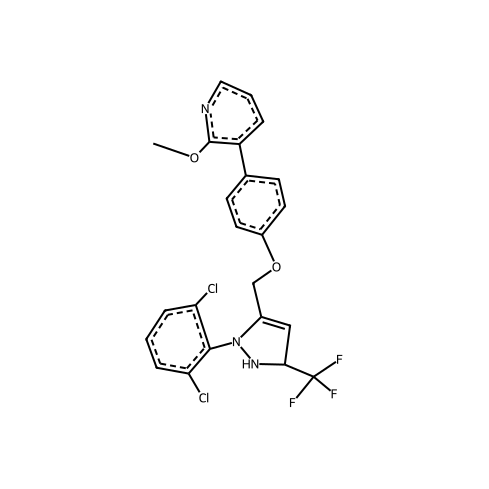 COc1ncccc1-c1ccc(OCC2=CC(C(F)(F)F)NN2c2c(Cl)cccc2Cl)cc1